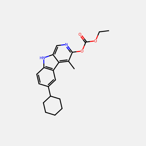 CCOC(=O)Oc1ncc2[nH]c3ccc(C4CCCCC4)cc3c2c1C